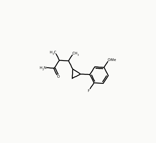 COc1ccc(F)c(C2CC2C(C)C(C)C(N)=O)c1